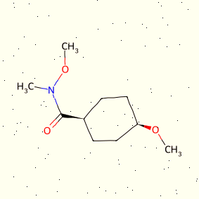 CON(C)C(=O)[C@H]1CC[C@@H](OC)CC1